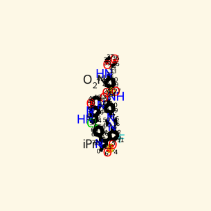 Cc1c(S(C)(=O)=O)c(-c2cc(F)cc(N3CCN(c4ccc(C(=O)NS(=O)(=O)c5ccc(NC[C@H]6COCCO6)c([N+](=O)[O-])c5)c(N5CCCOc6nc7[nH]ccc7cc65)c4)CC3)c2)c(-c2ccc(Cl)cc2)n1C(C)C